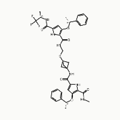 CNC(=O)c1[nH]c(C(=O)NC23CC(OCNC(=O)c4[nH]c(C(=O)N[C@H](C)C(F)(F)F)cc4O[C@H](C)c4ccccc4)(C2)C3)cc1O[C@H](C)c1ccccc1